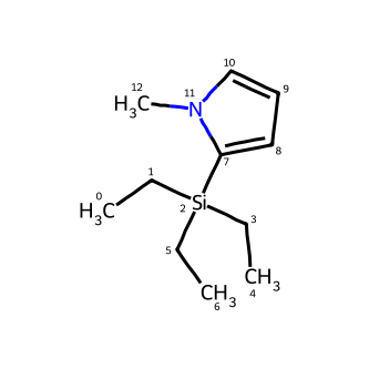 CC[Si](CC)(CC)c1cccn1C